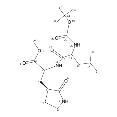 COC(=O)C(C[C@@H]1CCNC1=O)NC(=O)C(CC(C)C)NC(=O)OC(C)(C)C